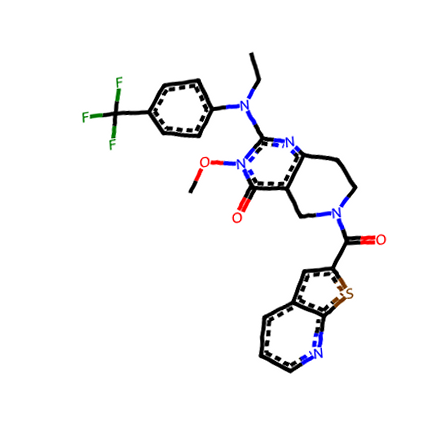 CCN(c1ccc(C(F)(F)F)cc1)c1nc2c(c(=O)n1OC)CN(C(=O)c1cc3cccnc3s1)CC2